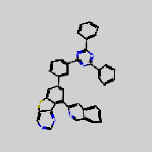 c1ccc(-c2nc(-c3ccccc3)nc(-c3cccc(-c4cc(-c5cc6ccccc6cn5)c5c(c4)sc4cncnc45)c3)n2)cc1